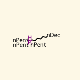 CCCCCCCCCCCCCCCC[PH](CCCCC)(CCCCC)CCCCC